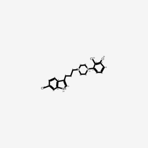 Clc1ccc2c(CCCN3CCN(c4cccc(Cl)c4Cl)CC3)c[nH]c2c1